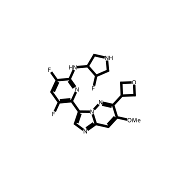 COc1cc2ncc(-c3nc(NC4CNCC4F)c(F)cc3F)n2nc1C1COC1